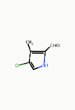 Cc1c(Cl)c[nH]c1C=O